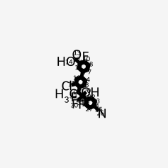 CC(c1ccc(-c2ccc(F)c(C(=O)O)c2)cc1Cl)C(O)(c1ccc(C#N)cc1)C(F)(F)F